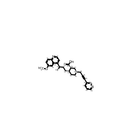 COc1ccc2nccc(C(F)CC[C@@H]3CCN(CC#Cc4cccnn4)C[C@@H]3C(=O)O)c2c1